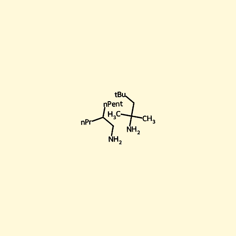 CC(C)(C)CC(C)(C)N.CCCCCC(CN)CCC